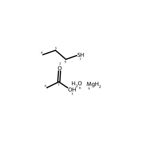 CC(=O)O.CCCS.O.[MgH2]